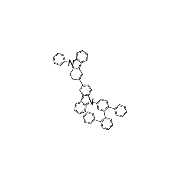 C1=C(c2ccc3c(c2)c2ccccc2n3-c2ccc(-c3ccccc3)c(-c3ccccc3-c3ccccc3)c2)CCc2c1c1ccccc1n2-c1ccccc1